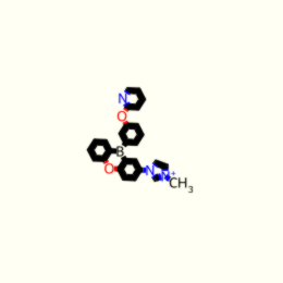 C[n+]1ccn(-c2ccc3c(c2)B(c2cccc(Oc4ccccn4)c2)c2ccccc2O3)c1